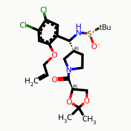 C=CCOc1cc(Cl)c(Cl)cc1C(N[S+]([O-])C(C)(C)C)[C@@H]1CCN(C(=O)[C@H]2COC(C)(C)O2)C1